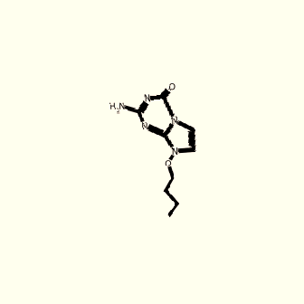 CCCCOn1ccn2c(=O)nc(N)nc12